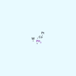 P.[Co].[Pt].[W]